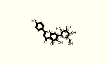 O=c1cc(-c2ccc(O)cc2)oc2cc(C3O[C@H](CO)[C@H](O)[C@H](O)[C@H]3O)c(O)c(O)c12